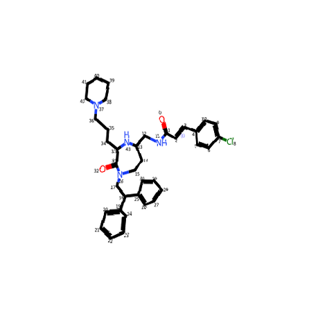 O=C(/C=C/c1ccc(Cl)cc1)NCC1CCN(CC(c2ccccc2)c2ccccc2)C(=O)C(CCCN2CCCCC2)N1